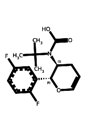 CC(C)(C)N(C(=O)O)[C@H]1CC=CO[C@@H]1c1cc(F)ccc1F